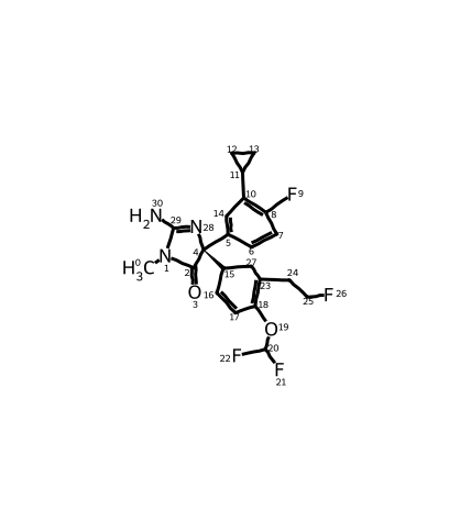 CN1C(=O)[C@](c2ccc(F)c(C3CC3)c2)(C2C=CC(OC(F)F)=C(CCF)C2)N=C1N